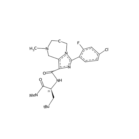 CNC(=O)[C@H](CC(C)(C)C)NC(=O)c1nc(-c2ccc(Cl)cc2F)n2c1CN(C)CCC2